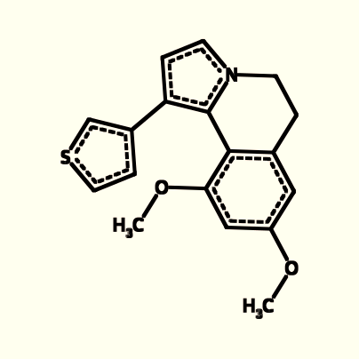 COc1cc2c(c(OC)c1)-c1c(-c3ccsc3)ccn1CC2